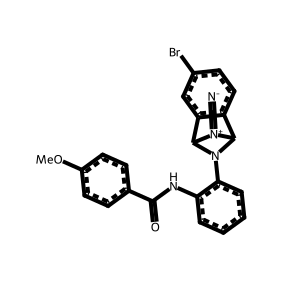 COc1ccc(C(=O)Nc2ccccc2N2C3c4ccc(Br)cc4C2[N+]3=[N-])cc1